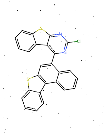 Clc1nc(-c2cc3sc4ccccc4c3c3ccccc23)c2c(n1)sc1ccccc12